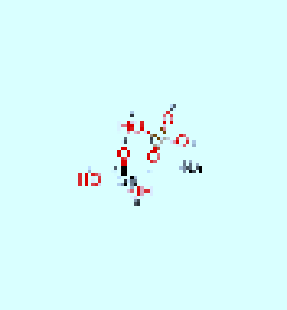 O=S(=O)([O-])O.O=[Se](O)O.[Na+]